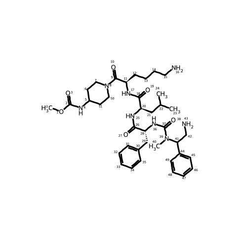 COC(=O)NC1CCN(C(=O)[C@@H](CCCCN)NC(=O)[C@@H](CC(C)C)NC(=O)[C@@H](Cc2ccccc2)NC(=O)N(C)C(CN)c2ccccc2)CC1